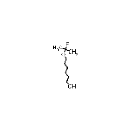 CC(C)(F)OCCCCCCO